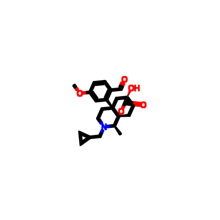 COc1ccc(C=O)c([C@]23CCN(CC4CC4)[C@H](C)[C@]24CC[C@](O)(C3)C(=O)O4)c1